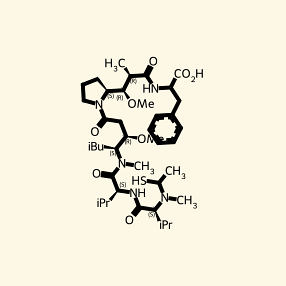 CCC(C)[C@@H]([C@@H](CC(=O)N1CCC[C@H]1[C@H](OC)[C@@H](C)C(=O)NC(Cc1ccccc1)C(=O)O)OC)N(C)C(=O)[C@@H](NC(=O)[C@H](C(C)C)N(C)C(C)S)C(C)C